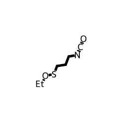 CCOSCCCN=C=O